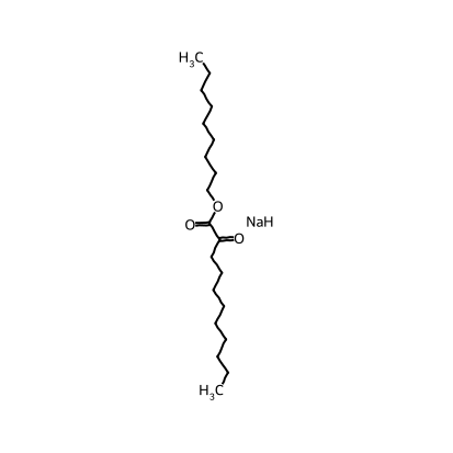 CCCCCCCCCOC(=O)C(=O)CCCCCCCCC.[NaH]